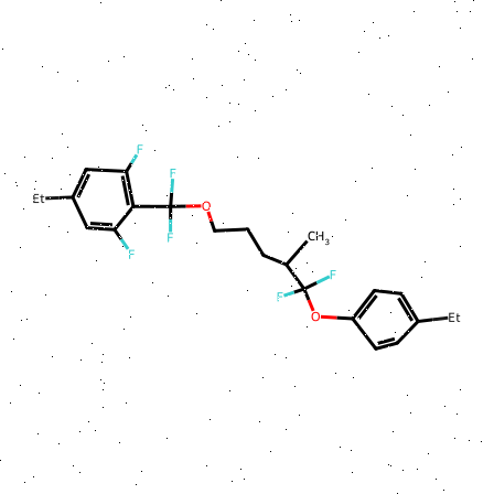 CCc1ccc(OC(F)(F)C(C)CCCOC(F)(F)c2c(F)cc(CC)cc2F)cc1